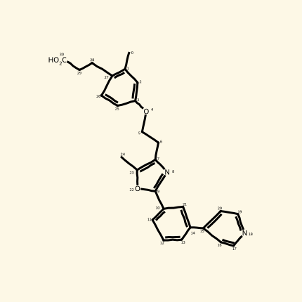 Cc1cc(OCCc2nc(-c3cccc(-c4ccncc4)c3)oc2C)ccc1CCC(=O)O